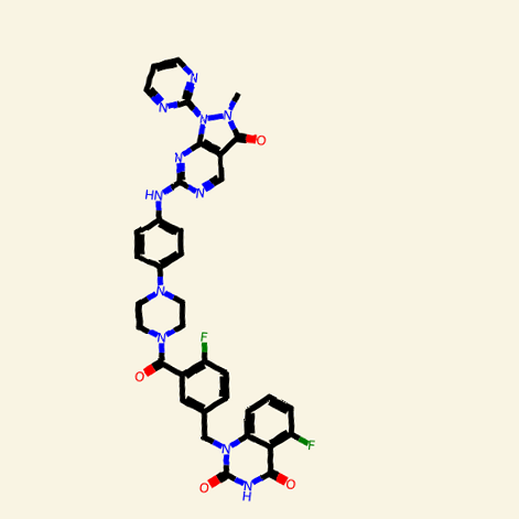 Cn1c(=O)c2cnc(Nc3ccc(N4CCN(C(=O)c5cc(Cn6c(=O)[nH]c(=O)c7c(F)cccc76)ccc5F)CC4)cc3)nc2n1-c1ncccn1